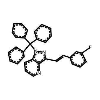 Fc1cccc(/C=C/c2nn(C(c3ccccc3)(c3ccccc3)c3ccccc3)c3cccnc23)c1